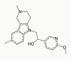 COc1ccc(C(O)Cn2c3c(c4cc(C)ccc42)CN(C)CC3)cn1